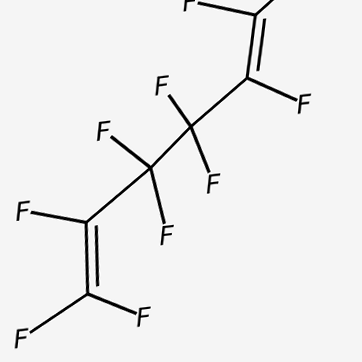 C/C(F)=C(\F)C(F)(F)C(F)(F)C(F)=C(F)F